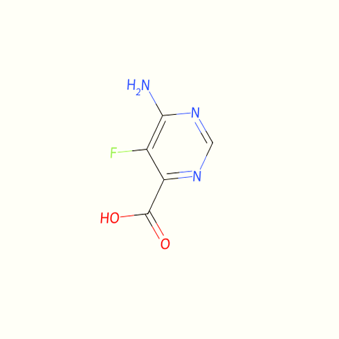 Nc1ncnc(C(=O)O)c1F